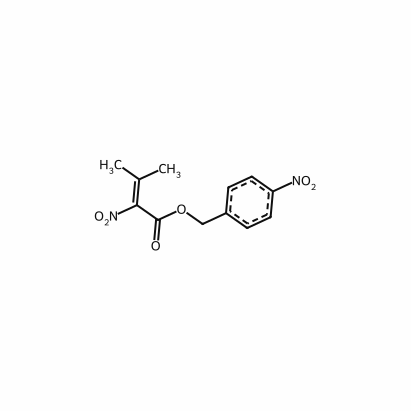 CC(C)=C(C(=O)OCc1ccc([N+](=O)[O-])cc1)[N+](=O)[O-]